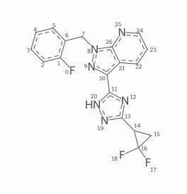 Fc1ccccc1Cn1nc(-c2nc(C3CC3(F)F)n[nH]2)c2cccnc21